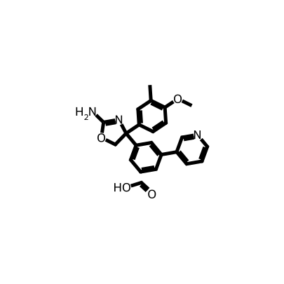 COc1ccc(C2(c3cccc(-c4cccnc4)c3)COC(N)=N2)cc1C.O=CO